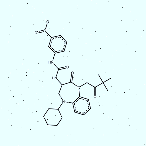 CC(C)(C)C(=O)CN1C(=O)C(NC(=O)Nc2cccc([N+](=O)[O-])c2)CN(C2CCCCC2)c2ccccc21